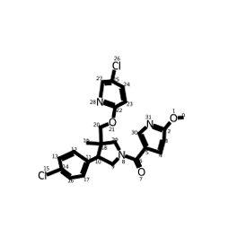 COc1ccc(C(=O)N2CC(c3ccc(Cl)cc3)C(C)(COc3ccc(Cl)cn3)C2)cn1